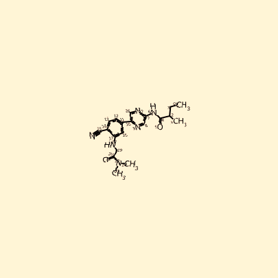 CCC(C)C(=O)Nc1cnc(-c2ccc(C#N)c(NCC(=O)N(C)C)c2)cn1